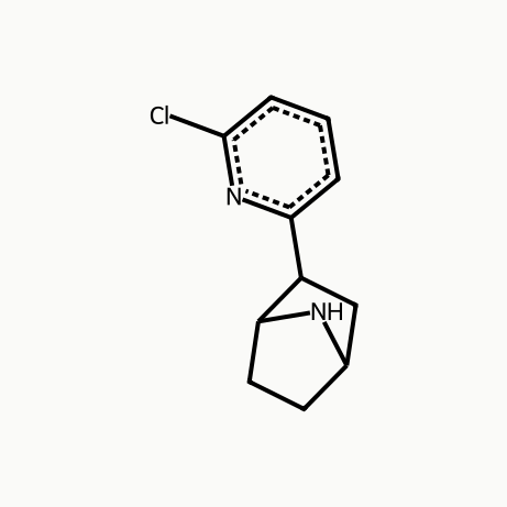 Clc1cccc(C2CC3CCC2N3)n1